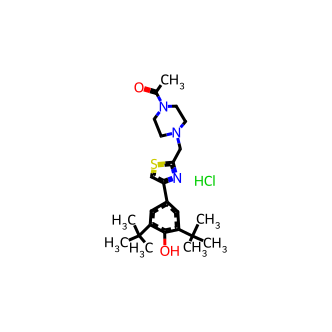 CC(=O)N1CCN(Cc2nc(-c3cc(C(C)(C)C)c(O)c(C(C)(C)C)c3)cs2)CC1.Cl